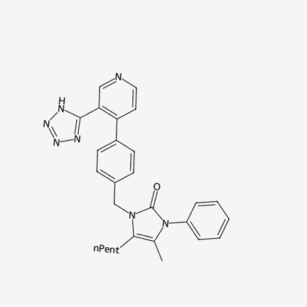 CCCCCc1c(C)n(-c2ccccc2)c(=O)n1Cc1ccc(-c2ccncc2-c2nnn[nH]2)cc1